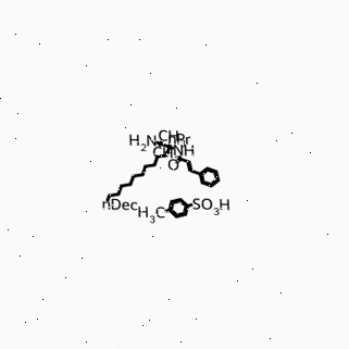 CCCCCCCCCCCCCCCCCCCCC(CCC)(NC(=O)C=Cc1ccccc1)C(C)(C)N.Cc1ccc(S(=O)(=O)O)cc1